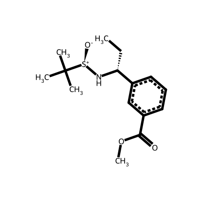 CC[C@@H](N[S@+]([O-])C(C)(C)C)c1cccc(C(=O)OC)c1